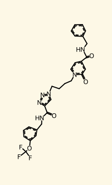 O=C(NCc1ccccc1)c1ccn(CCCCn2cc(C(=O)NCc3cccc(OC(F)(F)F)c3)nn2)c(=O)c1